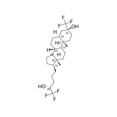 C[C@]12CC[C@@](O)(C(F)(F)F)C[C@@H]1CC[C@@H]1[C@@H]2CC[C@]2(C)[C@@H](CCC[C@@H](O)C(F)(F)F)CC[C@@H]12